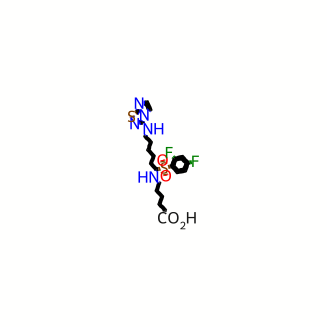 O=C(O)CCCCCNC(CCCCCNc1nsc2nccn12)S(=O)(=O)c1ccc(F)cc1F